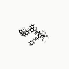 CN1CCC[C@@]1(C)c1nnc2ccc(O[C@@H]3CC[C@H](NC(=O)Nc4cc(COCCN5CCCCC5)cc(C(C)(C)C)c4)c4ccccc43)cn12